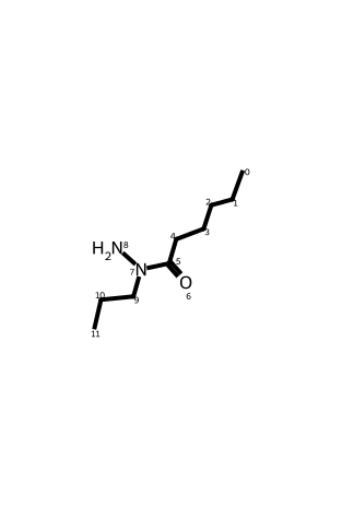 CCCCCC(=O)N(N)CCC